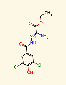 CCOC(=O)/C(N)=N/NC(=O)c1cc(Cl)c(O)c(Cl)c1